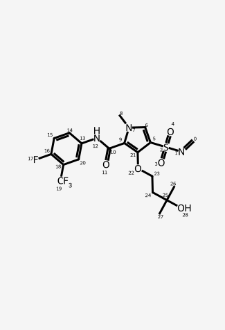 C=NS(=O)(=O)c1cn(C)c(C(=O)Nc2ccc(F)c(C(F)(F)F)c2)c1OCCC(C)(C)O